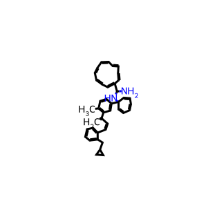 C=C(/C=C\c1ccccc1CC1CC1)c1cc(C2(NC(N)C3=C/C=C\C=C/C=C\C=C\C=C\3)C=CC=CC=C2)ccc1C